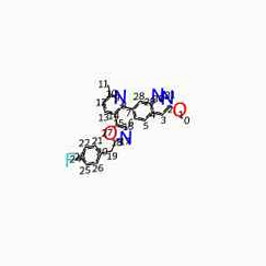 COc1cc2ccc(-c3nc(C)ccc3-c3cnc(Cc4ccc(F)cc4)o3)cc2nn1